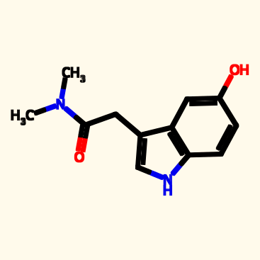 CN(C)C(=O)Cc1c[nH]c2ccc(O)cc12